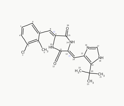 Cc1c(Cl)cccc1/C=c1\[nH]c(=O)/c(=C/c2nc[nH]c2C(C)(C)C)[nH]c1=O